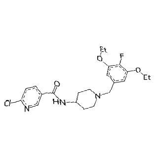 CCOc1cc(CN2CCC(NC(=O)c3ccc(Cl)nc3)CC2)cc(OCC)c1F